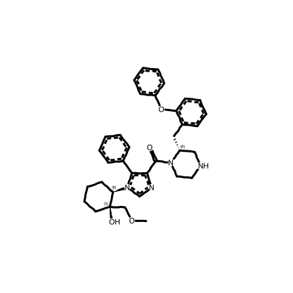 COC[C@]1(O)CCCC[C@H]1n1cnc(C(=O)N2CCNC[C@H]2Cc2ccccc2Oc2ccccc2)c1-c1ccccc1